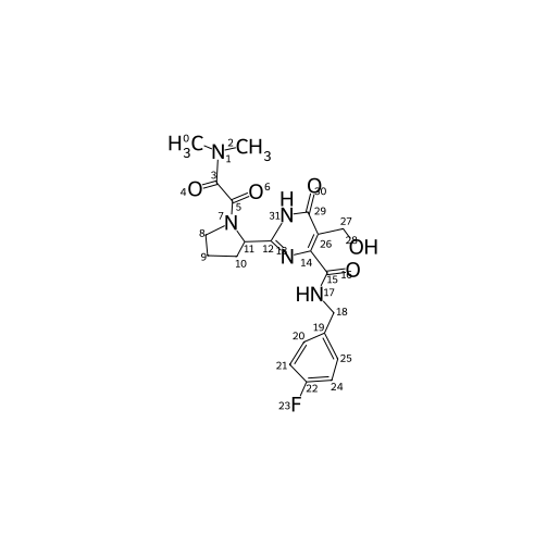 CN(C)C(=O)C(=O)N1CCCC1c1nc(C(=O)NCc2ccc(F)cc2)c(CO)c(=O)[nH]1